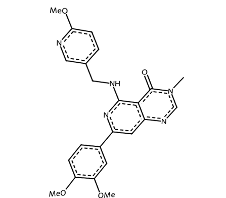 COc1ccc(CNc2nc(-c3ccc(OC)c(OC)c3)cc3ncn(C)c(=O)c23)cn1